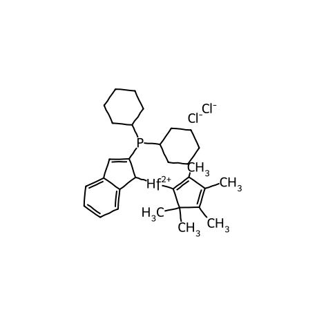 CC1=C(C)C(C)(C)[C]([Hf+2][CH]2C(P(C3CCCCC3)C3CCCCC3)=Cc3ccccc32)=C1C.[Cl-].[Cl-]